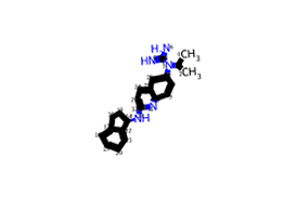 CC(C)N(C(=N)N)c1ccc2nc(N[C@@H]3CCc4ccccc43)ccc2c1